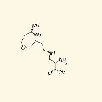 N=C1CCOCC(CCNCC(N)C(=O)O)N1